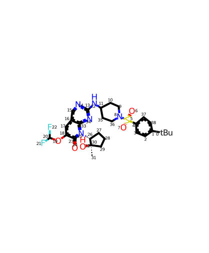 CC(C)(C)c1ccc(S(=O)(=O)N2CCC(Nc3ncc4cc(OC(F)F)c(=O)n([C@@H]5CCC[C@@]5(C)O)c4n3)CC2)cc1